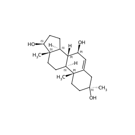 C[C@]1(O)CC[C@@]2(C)C(=C[C@H](O)[C@H]3[C@@H]4CC[C@H](O)[C@@]4(C)CC[C@@H]32)C1